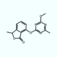 COc1nc(C)nc(Oc2cccc3c2C(=O)OC3C)n1